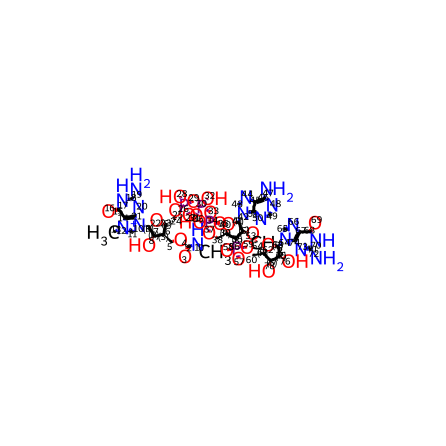 CNC(=O)OC[C@H]1[C@@H](O)[C@H](n2c[n+](C)c3c(=O)[nH]c(N)nc32)O[C@@H]1COP(=O)(O)OP(=O)(O)OP(=O)(O)OC[C@H]1O[C@@H](n2cnc3c(N)ncnc32)[C@H](OC)[C@@H]1P(=O)([O-])OC[C@H]1O[C@@H](n2cnc3c(=O)[nH]c(N)nc32)[C@H](O)[C@@H]1O